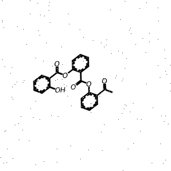 CC(=O)c1ccccc1OC(=O)c1ccccc1OC(=O)c1ccccc1O